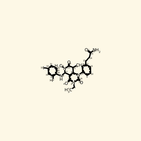 CCn1c(=O)c2c(n(-c3cccc(CCC(N)=O)c3)c1=O)C(C)C(=O)N(C)C2Nc1ccc(I)cc1F